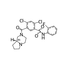 O=C(c1cc(S(=O)(=O)Nc2ccccc2F)c(Cl)cc1Cl)N1CCN2CCC[C@@H]2C1